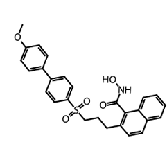 COc1ccc(-c2ccc(S(=O)(=O)CCCc3ccc4ccccc4c3C(=O)NO)cc2)cc1